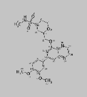 CNS(=O)(=O)N1CCOC(COc2nc(-c3ccc(OC)c(OC)c3)cc3nccnc23)C1